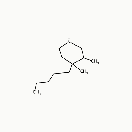 CCCCCC1(C)CCNCC1C